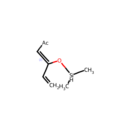 C=C/C(=C/C(C)=O)O[SiH](C)C